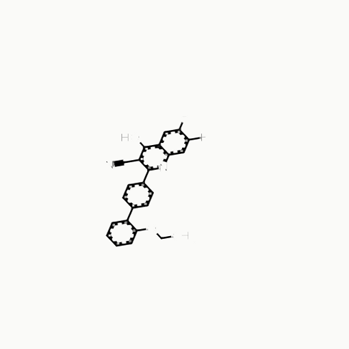 CCOc1ccccc1-c1ccc(-c2nc3cc(F)c(F)cc3c(O)c2C#N)cc1